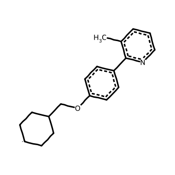 Cc1cccnc1-c1ccc(OCC2CC[CH]CC2)cc1